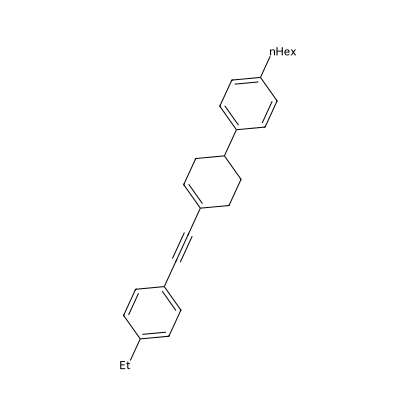 CCCCCCc1ccc(C2CC=C(C#Cc3ccc(CC)cc3)CC2)cc1